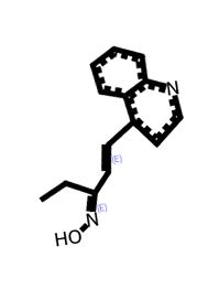 CCC(/C=C/c1ccnc2ccccc12)=N\O